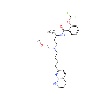 CCOCCN(CCCCc1ccc2c(n1)NCCC2)CC[C@H](NC(=O)c1ccccc1OC(F)F)C(=O)O